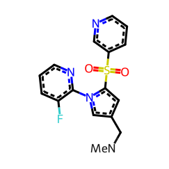 CNCc1cc(S(=O)(=O)c2cccnc2)n(-c2ncccc2F)c1